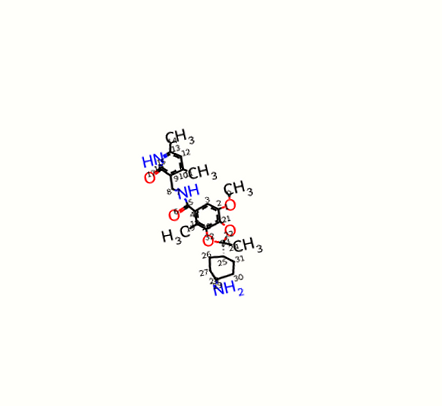 COc1cc(C(=O)NCc2c(C)cc(C)[nH]c2=O)c(C)c2c1OC(C)([C@H]1CC[C@H](N)CC1)O2